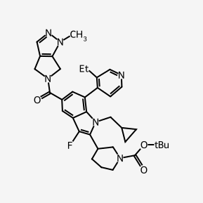 CCc1cnccc1-c1cc(C(=O)N2Cc3cnn(C)c3C2)cc2c(F)c(C3CCCN(C(=O)OC(C)(C)C)C3)n(CC3CC3)c12